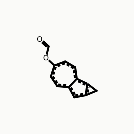 O=COc1ccc2cc3c(c-2cc1)C3